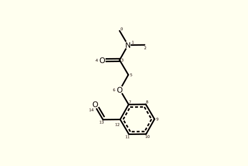 CN(C)C(=O)COc1ccccc1C=O